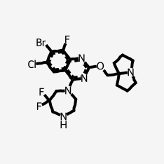 Fc1c(Br)c(Cl)cc2c(N3CCNCC(F)(F)C3)nc(OCC34CCCN3CCC4)nc12